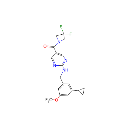 O=C(c1cnc(NCc2cc(OC(F)(F)F)cc(C3CC3)c2)nc1)N1CC(F)(F)C1